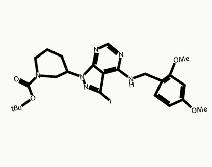 COc1ccc(CNc2ncnc3c2c(I)nn3C2CCCN(C(=O)OC(C)(C)C)C2)c(OC)c1